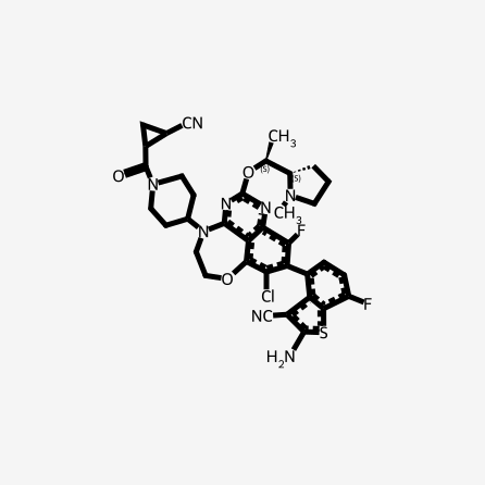 C[C@H](Oc1nc2c3c(c(Cl)c(-c4ccc(F)c5sc(N)c(C#N)c45)c(F)c3n1)OCCN2C1CCN(C(=O)C2CC2C#N)CC1)[C@@H]1CCCN1C